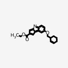 CCOC(=O)C1=CC2=c3cc(OCC4C=CCCC4)ccc3=NC2=C1